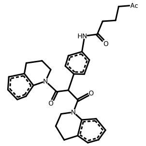 CC(=O)CCCC(=O)Nc1ccc(C(C(=O)N2CCCc3ccccc32)C(=O)N2CCCc3ccccc32)cc1